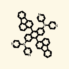 c1ccc2c(c1)-c1cccc3c(-c4c5ccc(N(c6ccncc6)c6ccncc6)cc5c(-c5ccc6c7c(cccc57)-c5ccccc5-6)c5ccc(N(c6ccncc6)c6ccncc6)cc45)ccc-2c13